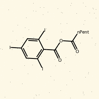 CCCCCC(=O)OC(=O)c1c(I)cc(I)cc1I